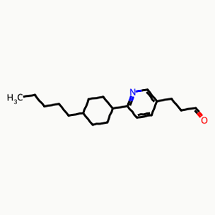 CCCCCC1CCC(c2ccc(CCC=O)cn2)CC1